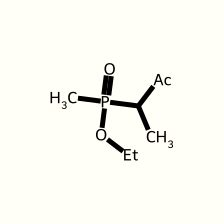 CCOP(C)(=O)C(C)C(C)=O